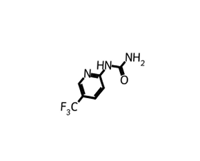 NC(=O)Nc1ccc(C(F)(F)F)cn1